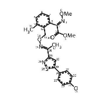 CO/N=C(/C(=O)OC)c1cccc(C)c1CO/N=C(\C)c1cc(-c2ccc(Cl)cc2)sn1